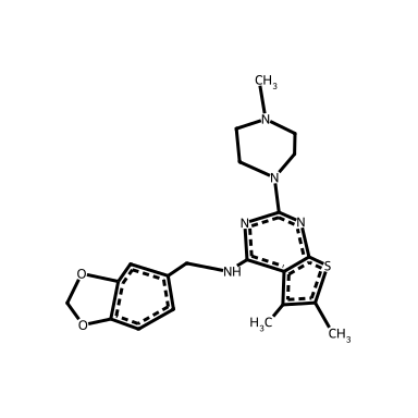 Cc1sc2nc(N3CCN(C)CC3)nc(NCc3ccc4c(c3)OCO4)c2c1C